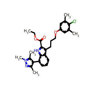 CCOC(=O)c1[nH]c2c(-c3c(C)nn(C)c3C)cccc2c1CCCOc1cc(C)c(Cl)c(C)c1